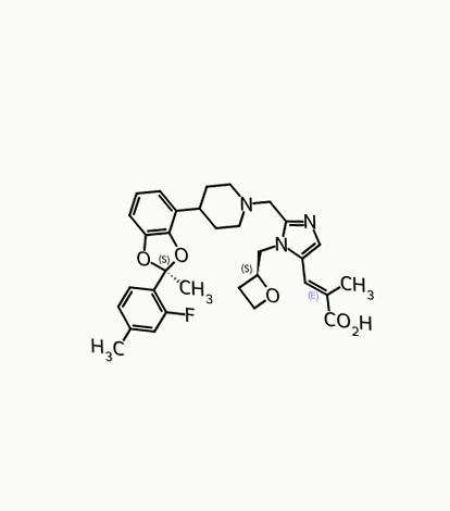 C/C(=C\c1cnc(CN2CCC(c3cccc4c3O[C@@](C)(c3ccc(C)cc3F)O4)CC2)n1C[C@@H]1CCO1)C(=O)O